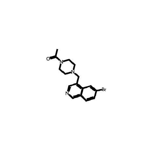 CC(=O)N1CCN(Cc2cncc3ccc(Br)cc23)CC1